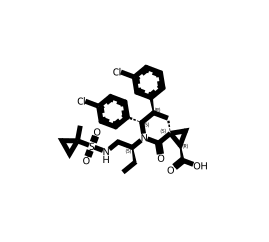 CC[C@@H](CNS(=O)(=O)C1(C)CC1)N1C(=O)[C@@]2(C[C@H](c3cccc(Cl)c3)[C@H]1c1ccc(Cl)cc1)C[C@H]2C(=O)O